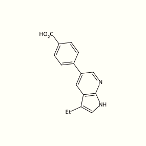 CCc1c[nH]c2ncc(-c3ccc(C(=O)O)cc3)cc12